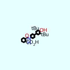 CC(C)(C)c1cc(-c2ccc(NC(=O)[C@@H]3CCCC[C@@H]3C(=O)O)cc2)cc(C(C)(C)C)c1O